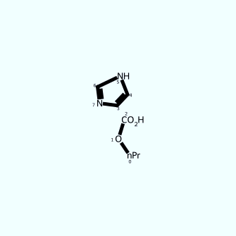 CCCOC(=O)O.c1c[nH]cn1